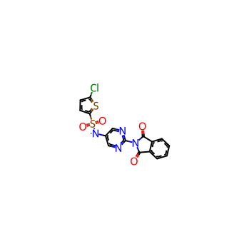 O=C1c2ccccc2C(=O)N1c1ncc([N]S(=O)(=O)c2ccc(Cl)s2)cn1